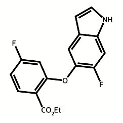 CCOC(=O)c1ccc(F)cc1Oc1cc2cc[nH]c2cc1F